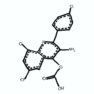 Nc1c(-c2ccc(Cl)cc2)nc2c(Cl)cc(Cl)cc2c1OC(=O)O